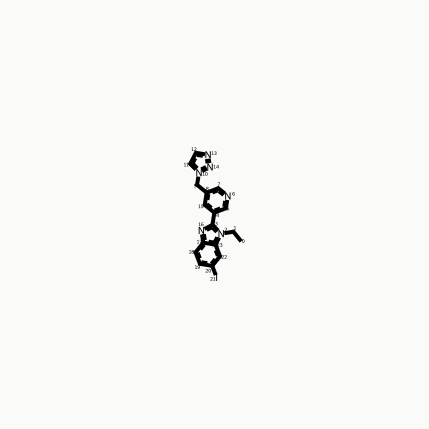 CCn1c(-c2cncc(Cn3ccnn3)c2)nc2ccc(I)cc21